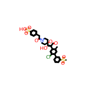 Cc1cc(-c2cccc(S(C)(=O)=O)c2)c(Cl)cc1C1=C(O)C2(CCN(C(=O)Cc3ccc(S(=O)(=O)O)cc3)CC2)OC1=O